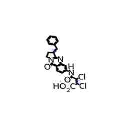 O=C(O)/C(Cl)=C(/Cl)C(=O)Nc1ccc2c(=O)n3c(nc2c1)/C(=C/c1ccccc1)CC3